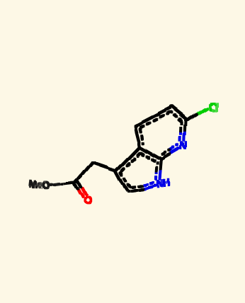 COC(=O)Cc1c[nH]c2nc(Cl)ccc12